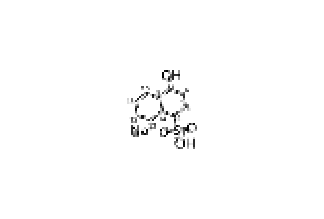 O=S(=O)(O)c1ccc(O)c2ccccc12.[Na]